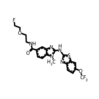 Cn1c(Nc2nc3ccc(OC(F)(F)F)cc3s2)nc2cc(C(=O)NCCOCCF)ccc21